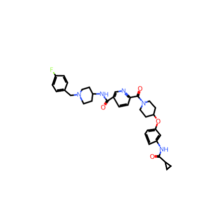 O=C(NC1CCN(Cc2ccc(F)cc2)CC1)c1ccc(C(=O)N2CCC(Oc3cccc(NC(=O)C4CC4)c3)CC2)nc1